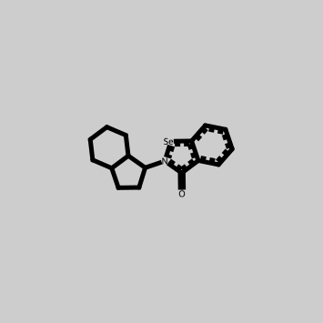 O=c1c2ccccc2[se]n1C1CCC2CCCCC21